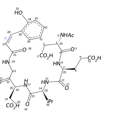 CC(=O)N[C@@H](CC(=O)O)C(=O)N[C@@H](CCC(=O)O)C(=O)N[C@H](C(=O)N[C@@H](CC(=O)O)C(=O)CNC(=O)/C=C\c1ccccc1O)C(C)C